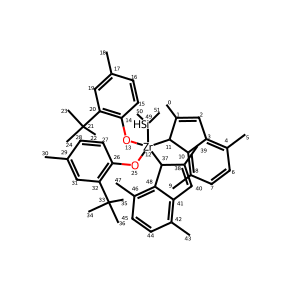 CC1=Cc2c(C)ccc(C)c2[CH]1[Zr]([O]c1ccc(C)cc1C(C)(C)C)([O]c1ccc(C)cc1C(C)(C)C)([CH]1C(C)=Cc2c(C)ccc(C)c21)[SiH](C)C